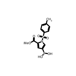 COC(=O)c1cc(B(O)O)cn1S(=O)(=O)c1ccc(C)cc1